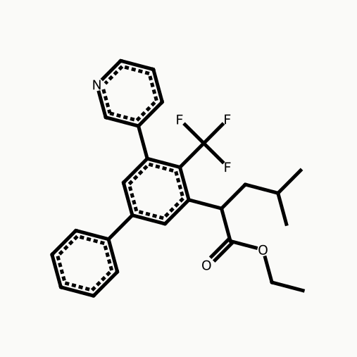 CCOC(=O)C(CC(C)C)c1cc(-c2ccccc2)cc(-c2cccnc2)c1C(F)(F)F